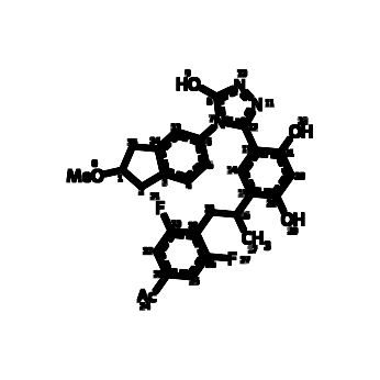 COC1Cc2ccc(-n3c(O)nnc3-c3cc(C(C)Cc4c(F)cc(C(C)=O)cc4F)c(O)cc3O)cc2C1